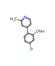 COc1cc(Br)ccc1-c1ccnc(C)c1